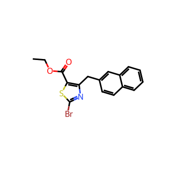 CCOC(=O)c1sc(Br)nc1Cc1ccc2ccccc2c1